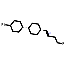 CCC1CCC([C@H]2CC[C@H](/C=C/CCF)CC2)CC1